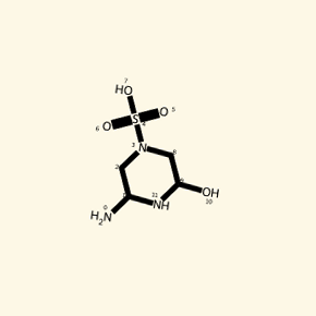 NC1CN(S(=O)(=O)O)CC(O)N1